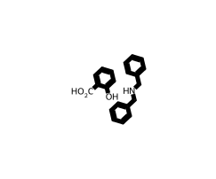 O=C(O)c1ccccc1O.c1ccc(CNCc2ccccc2)cc1